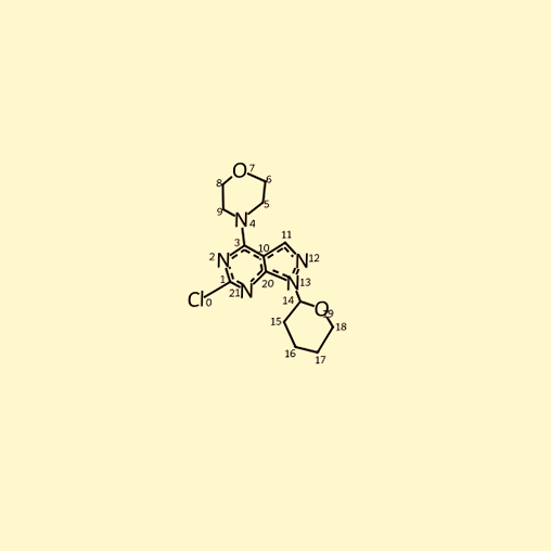 Clc1nc(N2CCOCC2)c2cnn(C3CCCCO3)c2n1